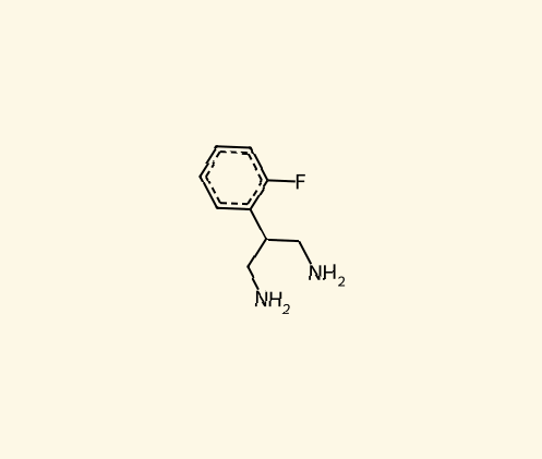 NCC(CN)c1ccccc1F